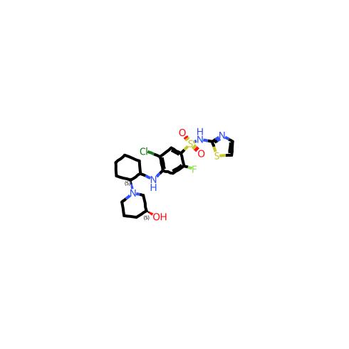 O=S(=O)(Nc1nccs1)c1cc(Cl)c(NC2CCCC[C@@H]2N2CCC[C@H](O)C2)cc1F